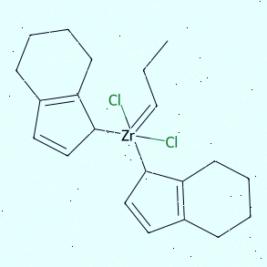 CC[CH]=[Zr]([Cl])([Cl])([CH]1C=CC2=C1CCCC2)[CH]1C=CC2=C1CCCC2